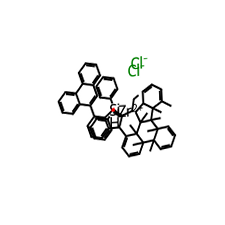 CCCC1=Cc2c(-c3cc4ccccc4c4ccccc34)cccc2C1C1=CC=CC2(C)C3(C)C=CC=CC3(C)C3(C)C4(C)C(C)=CC=CC4[CH]([Zr+2][SiH](c4ccccc4)c4ccccc4)C3(C)C12C.[Cl-].[Cl-]